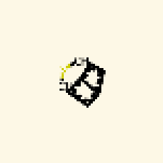 CSC.c1cc2ccc1-2